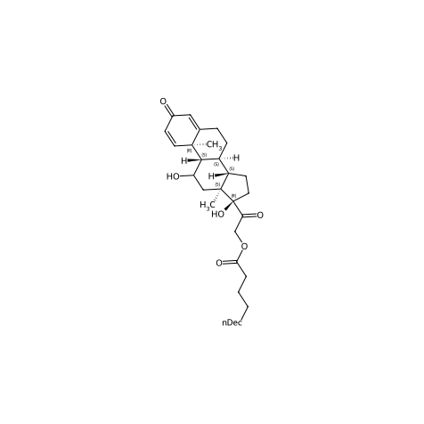 CCCCCCCCCCCCCC(=O)OCC(=O)[C@@]1(O)CC[C@H]2[C@@H]3CCC4=CC(=O)C=C[C@]4(C)[C@H]3C(O)C[C@@]21C